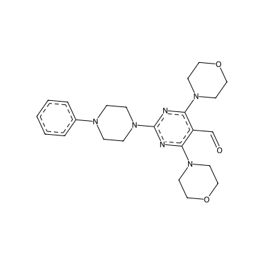 O=Cc1c(N2CCOCC2)nc(N2CCN(c3ccccc3)CC2)nc1N1CCOCC1